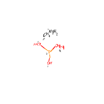 C.OP(O)O.[MgH2]